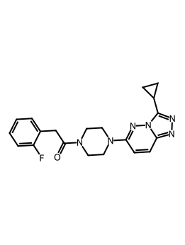 O=C(Cc1ccccc1F)N1CCN(c2ccc3nnc(C4CC4)n3n2)CC1